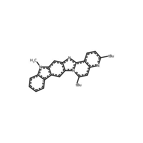 Cn1c2ccccc2c2cc3c(cc21)nc1c2ccc(C(C)(C)C)nc2cc(C(C)(C)C)n31